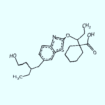 CCC(CCO)Cc1ccc2nc(OC(CC)C3(C(=O)O)CCCCC3)sc2c1